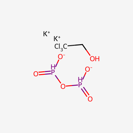 O=[PH]([O-])O[PH](=O)[O-].OCC(Cl)(Cl)Cl.[K+].[K+]